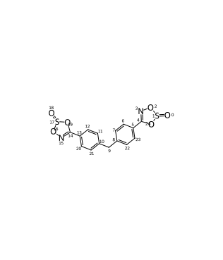 O=S1ON=C(c2ccc(Cc3ccc(C4=NOS(=O)O4)cc3)cc2)O1